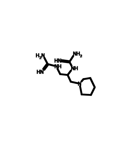 N=C(N)NCC(CN1CCCCC1)NC(=N)N